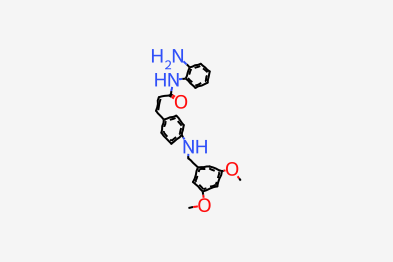 COc1cc(CNc2ccc(/C=C\C(=O)Nc3ccccc3N)cc2)cc(OC)c1